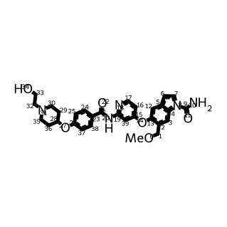 COCc1cc2c(ccn2C(N)=O)cc1Oc1ccnc(NC(=O)c2ccc(OC3CCN(CCO)CC3)cc2)c1